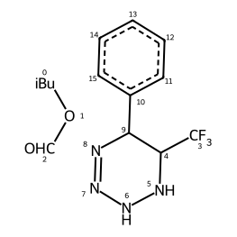 CCC(C)OC=O.FC(F)(F)C1NNN=NC1c1ccccc1